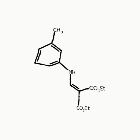 CCOC(=O)C(=CNc1cccc(C)c1)C(=O)OCC